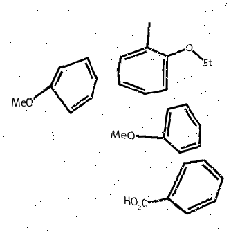 CCOc1ccccc1C.COc1ccccc1.COc1ccccc1.O=C(O)c1ccccc1